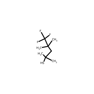 CC(C)(S)CC(C)(C)C(F)(F)F